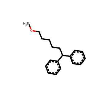 [SiH3]OCCCCCC(c1ccccc1)c1ccccc1